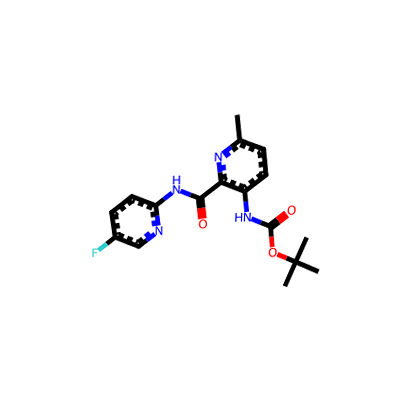 Cc1ccc(NC(=O)OC(C)(C)C)c(C(=O)Nc2ccc(F)cn2)n1